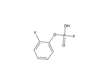 O=P(O)(F)Oc1ccccc1F